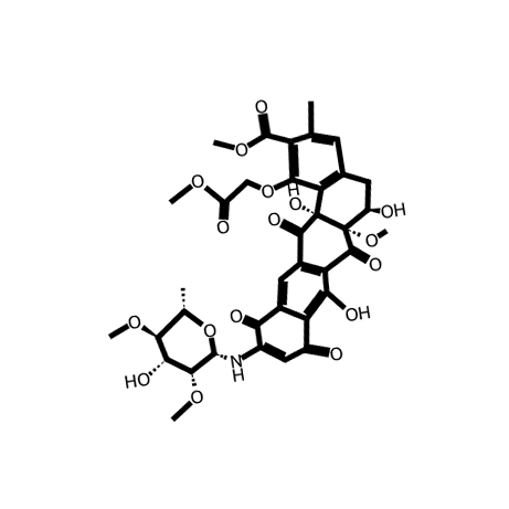 COC(=O)COc1c(C(=O)OC)c(C)cc2c1[C@]1(O)C(=O)c3cc4c(c(O)c3C(=O)[C@]1(OC)[C@H](O)C2)C(=O)C=C(N[C@H]1O[C@@H](C)[C@H](OC)[C@@H](O)[C@H]1OC)C4=O